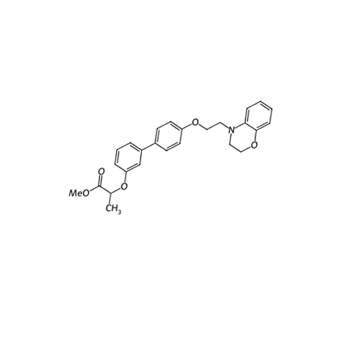 COC(=O)C(C)Oc1cccc(-c2ccc(OCCN3CCOc4ccccc43)cc2)c1